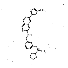 Cc1coc(-c2ccc3cnc(NCc4cccc(C[C@@H](C)C5CCCC5)c4)cc3c2)c1